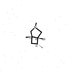 C[C@@H]1C[C@]2(C)CN(C)C[C@H]12